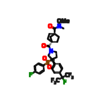 CON(C)C(=O)[C@]12CC[C@@](C(=O)N3CC[C@](c4ccc(C(F)(C(F)(F)F)C(F)(F)F)cc4)(S(=O)(=O)c4ccc(F)cc4)C3)(CC1)C2